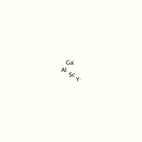 [Al].[Ga].[Sc].[Y]